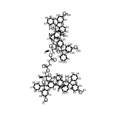 C#C[C@]1(COC(=O)CCC(=O)OC[C@@]2(C#C)O[C@@H](n3cnc4c(NC(c5ccccc5)(c5ccccc5)c5ccc(OC)cc5)nc(F)nc43)C[C@@H]2OC(c2ccccc2)(c2ccccc2)c2ccc(OC)cc2)O[C@@H](n2cnc3c(NC(c4ccccc4)(c4ccccc4)c4ccc(OC)cc4)nc(F)nc32)C[C@@H]1OC(c1ccccc1)(c1ccccc1)c1ccc(OC)cc1